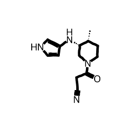 C[C@@H]1CCN(C(=O)CC#N)C[C@@H]1Nc1cc[nH]c1